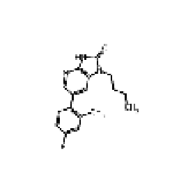 CCCCn1c(=O)[nH]c2ncc(-c3ccc(F)cc3C)cc21